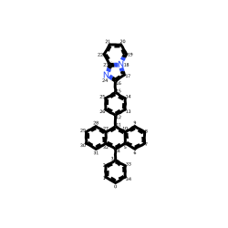 c1ccc(-c2c3ccccc3c(-c3ccc(-c4cn5ccccc5n4)cc3)c3ccccc23)cc1